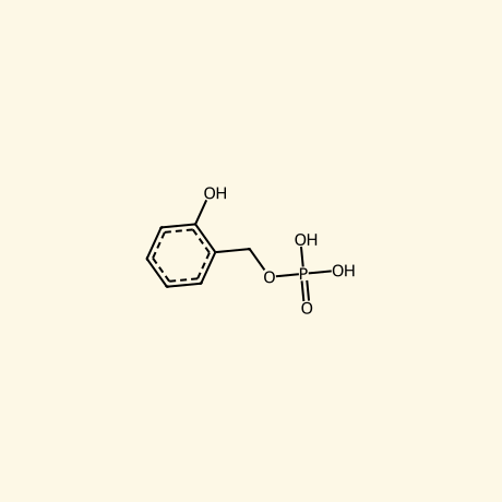 O=P(O)(O)OCc1ccccc1O